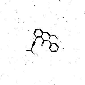 CCc1cc2cccc(C#CC(C)N)c2c(=O)n1-c1ccccc1